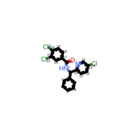 O=C(NC(c1ccccc1)c1ccc(Cl)cn1)c1ccc(Cl)c(Cl)c1